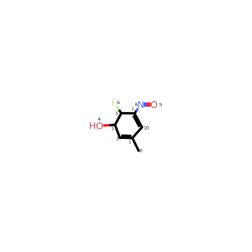 CC1=CC(O)C(F)C(N=O)=C1